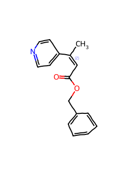 C/C(=C/C(=O)OCc1ccccc1)c1ccncc1